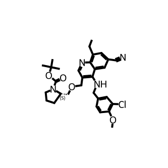 CCc1cc(C#N)cc2c(NCc3ccc(OC)c(Cl)c3)c(COC[C@@H]3CCCN3C(=O)OC(C)(C)C)cnc12